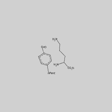 CCCCCc1ccc(C=O)cc1.NCCCC(N)C(=O)O